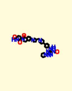 O=CNc1nnc(N2CCCCC2)nc1Nc1ccc(C2CCN(CC3CCN(c4ccc5c(c4)CCN(C4CCC(=O)NC4=O)C5=O)C3)CC2)cc1